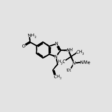 C=CCn1c(NC(C)(C)N(CC)NC)nc2cc(C(N)=O)ccc21